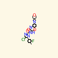 Cc1ccc(-c2nc(C(=O)N[C@H]3COc4ccc(N5CC6(CCOCC6)C5)cc4N(C)C3=O)ncc2Cl)cc1F